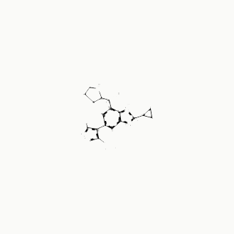 Cc1noc(C)c1-c1cc([C@@H](O)C2CCCO2)c2nc(C3CC3)[nH]c2c1